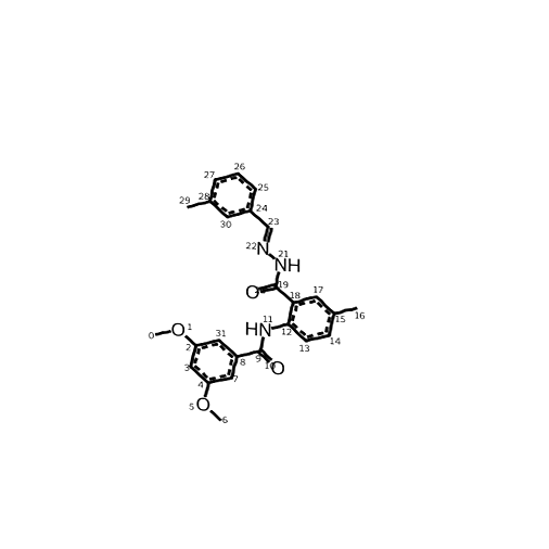 COc1cc(OC)cc(C(=O)Nc2ccc(C)cc2C(=O)N/N=C/c2cccc(C)c2)c1